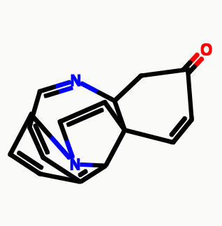 O=C1C=CC23C=CN4CC=CC(=C42)/C=C\C=N/C3C1